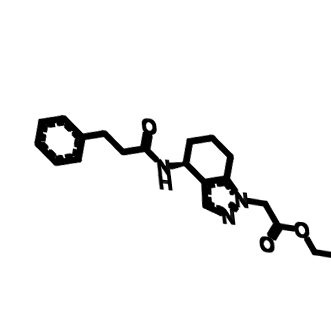 CCOC(=O)Cn1ncc2c1CCC[C@@H]2NC(=O)CCc1ccccc1